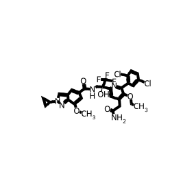 CCOc1c(CC(N)=O)cc([C@@](O)(CNC(=O)c2cc(OC)c3nn(C4CC4)cc3c2)C(F)(F)F)nc1-c1cc(Cl)ccc1Cl